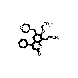 C=CCc1c(OCC(=O)O)c(CN2CCOCC2)cc2c(-c3ccccc3)cc(=O)oc12